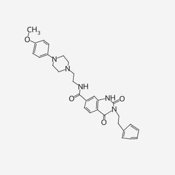 COc1ccc(N2CCN(CCNC(=O)c3ccc4c(=O)n(CCc5ccccc5)c(=O)[nH]c4c3)CC2)cc1